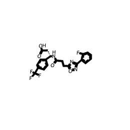 O=C(O)C[C@H](NC(=O)CCc1nc(-c2ccccc2F)no1)c1ccc(C(F)(F)F)cc1